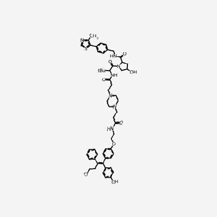 Cc1ncsc1-c1ccc(CNC(=O)C2CC(O)CN2C(=O)C(NC(=O)CCN2CCN(CCC(=O)NCCOc3ccc(C(=C(CCCl)c4ccccc4)c4ccc(O)cc4)cc3)CC2)C(C)(C)C)cc1